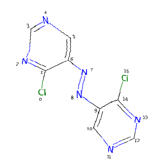 Clc1ncncc1N=Nc1cncnc1Cl